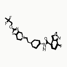 Cn1cc2c(C(=O)N[C@H]3CC[C@H](CCN4CCc5sc(OCC(C)(F)F)nc5C4)CC3)ccc(F)c2n1